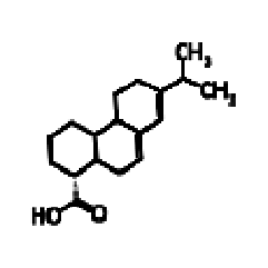 CC(C)C1=CC2=CCC3C(CCC[C@H]3C(=O)O)C2CC1